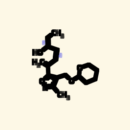 C=C(/C=C\C(O)=C/C)c1onc(C)c1COC1CCCCO1